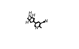 Cc1ncc(C2=C[C@@H]3NC[C@@H]3C2)cc1C#N